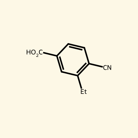 CCc1cc(C(=O)O)ccc1C#N